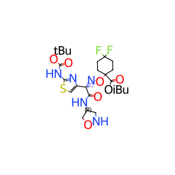 CC(C)COC(=O)C1(O/N=C(\C(=O)N[C@@H]2CNOC2)c2csc(NC(=O)OC(C)(C)C)n2)CCC(F)(F)CC1